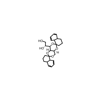 OC[C@@H](O)[C@H]1OC2(CCCC3C=CC=CC32)O[C@H]2COC3(CCCC4C=CC=CC43)O[C@@H]12